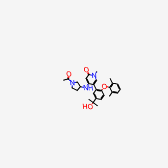 CC(=O)N1CCC(Nc2cc(=O)n(C)cc2-c2cc(C(C)(C)O)ccc2Oc2c(C)cccc2C)C1